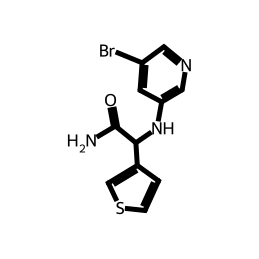 NC(=O)C(Nc1cncc(Br)c1)c1ccsc1